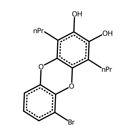 CCCc1c(O)c(O)c(CCC)c2c1Oc1cccc(Br)c1O2